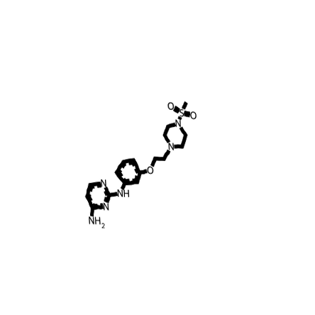 CS(=O)(=O)N1CCN(CCOc2cccc(Nc3nccc(N)n3)c2)CC1